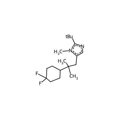 Cn1c(CC(C)(C)C2CCC(F)(F)CC2)cnc1C(C)(C)C